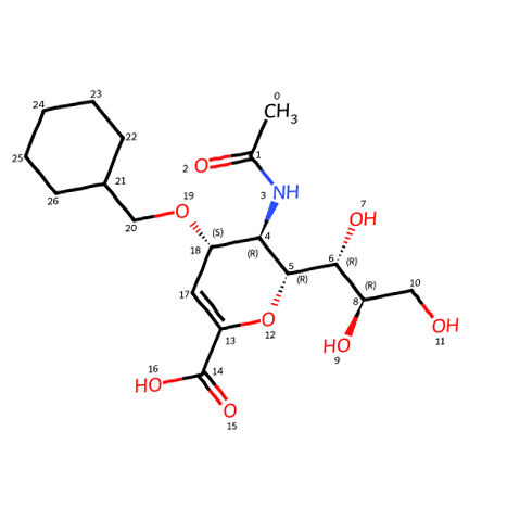 CC(=O)N[C@H]1[C@H]([C@H](O)[C@H](O)CO)OC(C(=O)O)=C[C@@H]1OCC1CCCCC1